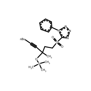 CCCCC#CC(C)(CCS(=O)(=O)c1nnnn1-c1ccccc1)O[Si](C)(C)C